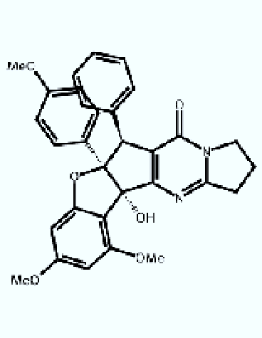 COc1ccc([C@@]23Oc4cc(OC)cc(OC)c4[C@]2(O)c2nc4n(c(=O)c2[C@@H]3c2ccccc2)CCC4)cc1